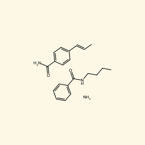 C/C=C/c1ccc(C(N)=O)cc1.CCCCNC(=O)c1ccccc1.N